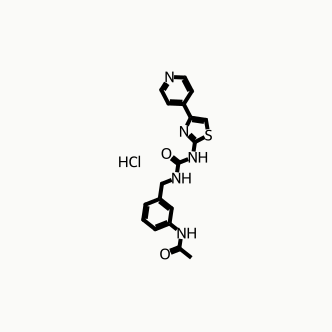 CC(=O)Nc1cccc(CNC(=O)Nc2nc(-c3ccncc3)cs2)c1.Cl